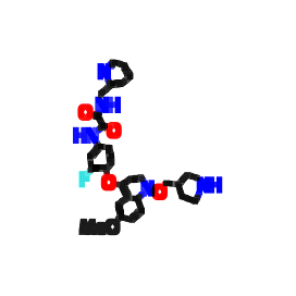 COC1=CC2=C(Oc3ccc(NC(=O)C(=O)NCc4ccccn4)cc3F)C=CN(OCC3CCNCC3)C2C=C1